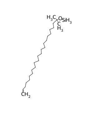 C=CCCCCCCCCCCCCCCCCCCCCC(C)(C)O[SiH3]